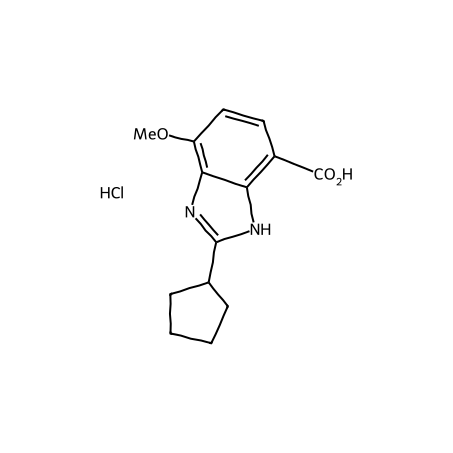 COc1ccc(C(=O)O)c2[nH]c(C3CCCC3)nc12.Cl